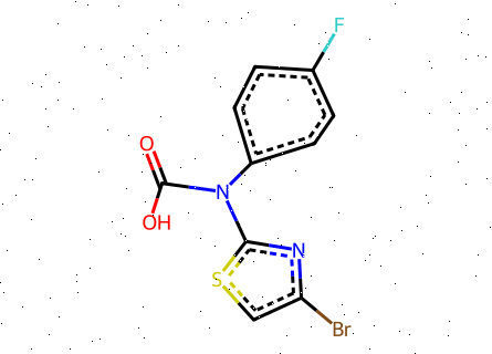 O=C(O)N(c1ccc(F)cc1)c1nc(Br)cs1